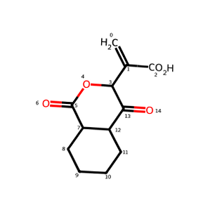 C=C(C(=O)O)C1OC(=O)C2CCCCC2C1=O